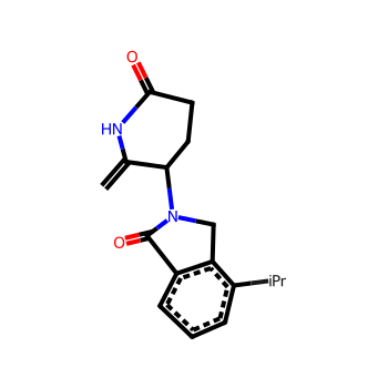 C=C1NC(=O)CCC1N1Cc2c(cccc2C(C)C)C1=O